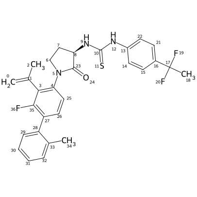 C=C(C)c1c(N2CC[C@@H](NC(=S)Nc3ccc(C(C)(F)F)cc3)C2=O)ccc(-c2ccccc2C)c1F